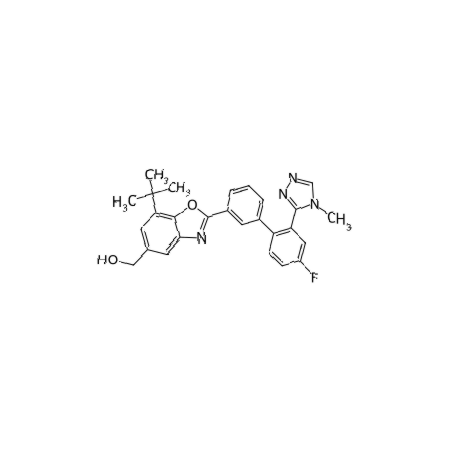 Cn1cnnc1-c1cc(F)ccc1-c1cccc(-c2nc3cc(CO)cc(C(C)(C)C)c3o2)c1